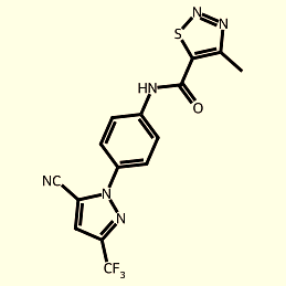 Cc1nnsc1C(=O)Nc1ccc(-n2nc(C(F)(F)F)cc2C#N)cc1